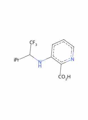 CC(C)C(Nc1cccnc1C(=O)O)C(F)(F)F